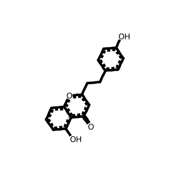 O=c1cc(CCc2ccc(O)cc2)oc2cccc(O)c12